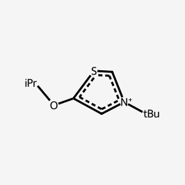 CC(C)Oc1c[n+](C(C)(C)C)cs1